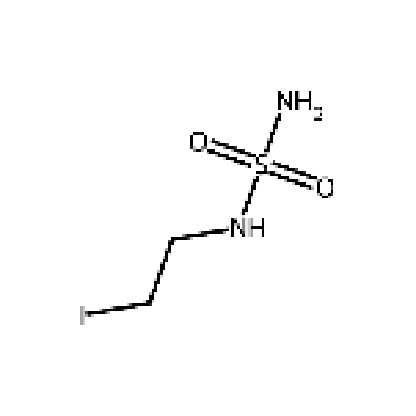 NS(=O)(=O)NCCI